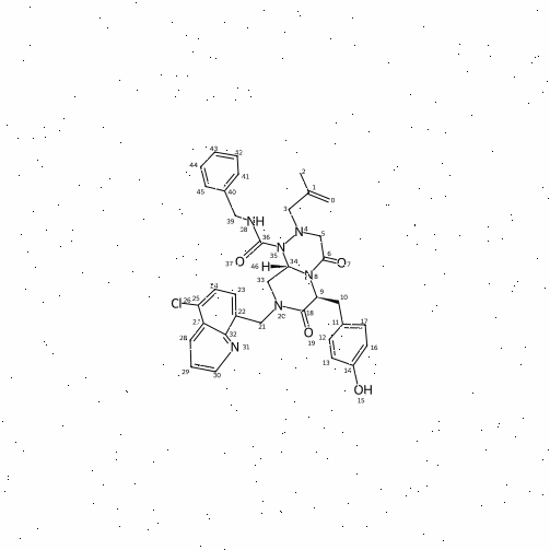 C=C(C)CN1CC(=O)N2[C@@H](Cc3ccc(O)cc3)C(=O)N(Cc3ccc(Cl)c4cccnc34)C[C@@H]2N1C(=O)NCc1ccccc1